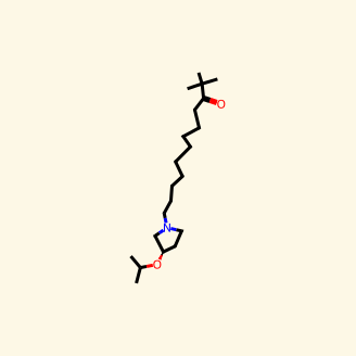 CC(C)O[C@@H]1CCN(CCCCCCCCCC(=O)C(C)(C)C)C1